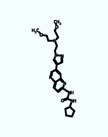 COCCN(CCOC)CCn1cc(-c2cnc3ccc(NC(=O)NC4CCCC4)nc3c2)cn1